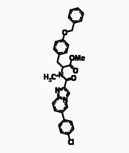 COC(=O)C(Cc1ccc(OCc2ccccc2)cc1)N(C)C(=O)c1cn2cc(-c3ccc(Cl)cc3)ccc2n1